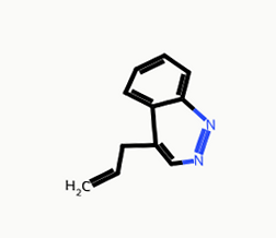 C=CCc1cnnc2ccccc12